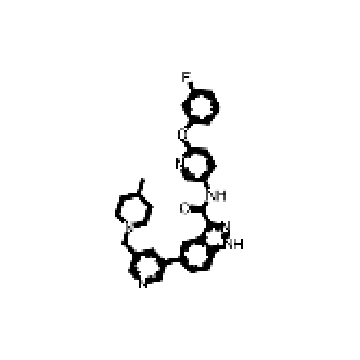 CC1CCN(Cc2cncc(-c3ccc4[nH]nc(C(=O)Nc5ccc(Oc6cccc(F)c6)nc5)c4c3)c2)CC1